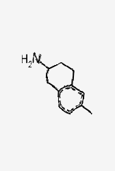 Cc1ccc2c(c1)CCC(N)C2